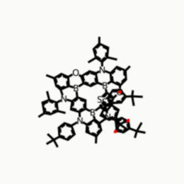 Cc1cc(C)c(N2c3cc4c(cc3B3c5cc6c(cc5Oc5cc(C)cc2c53)N(c2c(C)cc(C)cc2C)c2cc(C)cc3c2B6c2sc5ccc(C(C)(C)C)cc5c2O3)B2c3sc5ccc(C(C)(C)C)cc5c3N(c3ccc(C(C)(C)C)cc3)c3cc(C)cc(c32)N4c2ccc(C(C)(C)C)cc2)c(C)c1